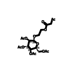 CC(=O)CC(=O)OCCO[C@@H]1O[C@H](COC(C)=O)[C@@H](OC(C)=O)[C@H](OC(C)=O)[C@H]1OC(C)=O